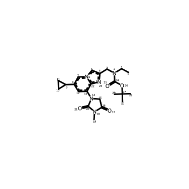 CCN(Cc1cn2cc(C3CC3)cc(N3CC(=O)N(C)C3=O)c2n1)C(=O)OC(C)(C)C